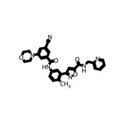 Cc1ccc(NC(=O)c2cc(C#N)cc(N3CCOCC3)c2)cc1-c1cc(C(=O)NCc2ccccn2)on1